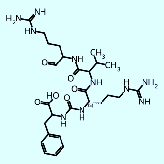 CC(C)C(NC(=O)[C@H](CCCNC(=N)N)NC(=O)NC(Cc1ccccc1)C(=O)O)C(=O)NC(C=O)CCCNC(=N)N